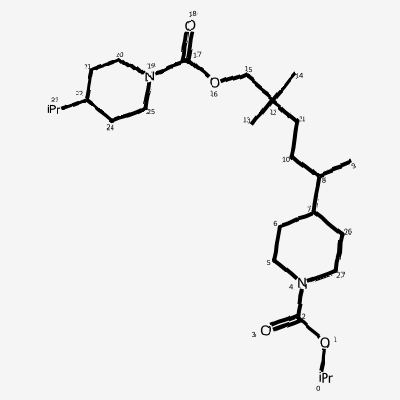 CC(C)OC(=O)N1CCC(C(C)CCC(C)(C)COC(=O)N2CCC(C(C)C)CC2)CC1